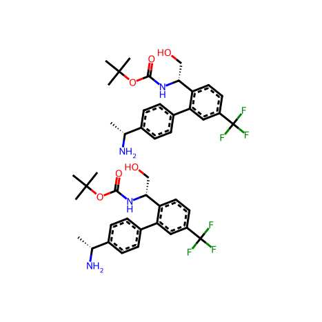 C[C@@H](N)c1ccc(-c2cc(C(F)(F)F)ccc2[C@@H](CO)NC(=O)OC(C)(C)C)cc1.C[C@@H](N)c1ccc(-c2cc(C(F)(F)F)ccc2[C@@H](CO)NC(=O)OC(C)(C)C)cc1